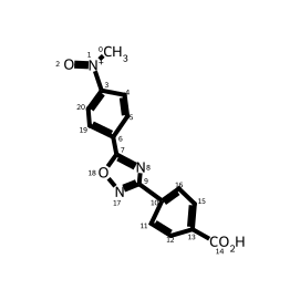 C[N+](=O)c1ccc(-c2nc(-c3ccc(C(=O)O)cc3)no2)cc1